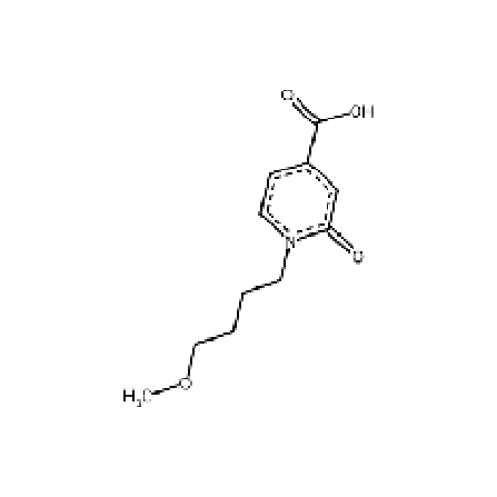 COCCCCn1ccc(C(=O)O)cc1=O